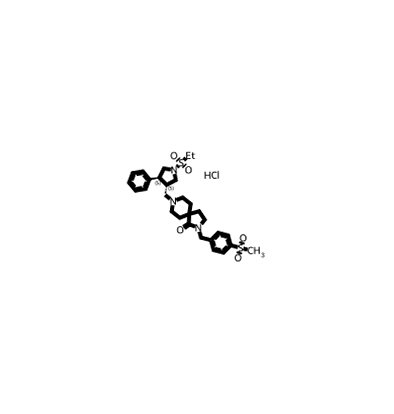 CCS(=O)(=O)N1C[C@H](CN2CCC3(CC2)CCN(Cc2ccc(S(C)(=O)=O)cc2)C3=O)[C@@H](c2ccccc2)C1.Cl